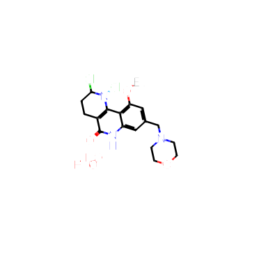 CCOc1cc(CN2CCOCC2)cc2[nH]c(=O)c3c(c12)N(Cl)C(Cl)CC3.O.O